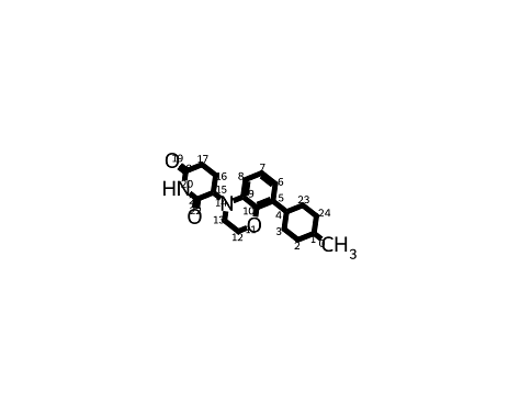 CC1CCC(c2cccc3c2OCCN3C2CCC(=O)NC2=O)CC1